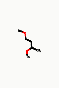 CCOCC[C](C)OC(C)C